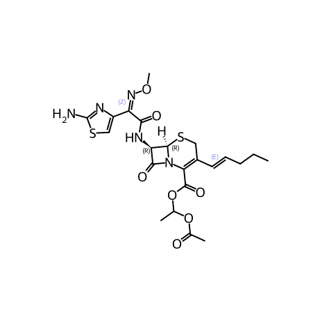 CCC/C=C/C1=C(C(=O)OC(C)OC(C)=O)N2C(=O)[C@@H](NC(=O)/C(=N\OC)c3csc(N)n3)[C@H]2SC1